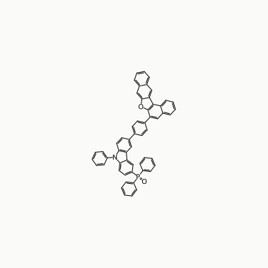 O=P(c1ccccc1)(c1ccccc1)c1ccc2c(c1)c1cc(-c3ccc(-c4cc5ccccc5c5c4oc4cc6ccccc6cc45)cc3)ccc1n2-c1ccccc1